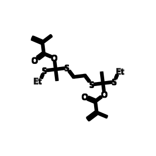 C=C(C)C(=O)OC(C)(SCC)SCCSC(C)(OC(=O)C(=C)C)SCC